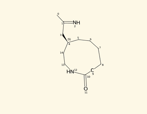 CC(=N)C[C@H]1CCCCCC(=O)NCC1